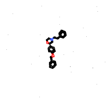 c1ccc(CCN2CCO[C@H](c3ccc(OCc4ccccc4)cc3)C2)cc1